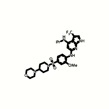 COc1cc(S(=O)(=O)N2CCC(N3CCOCC3)CC2)ccc1Nc1cc(NC(C)C)c2c(C(F)(F)F)c[nH]c2n1